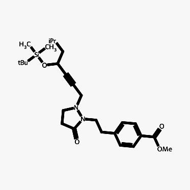 COC(=O)c1ccc(CCN2C(=O)CCN2CC#CC(CC(C)C)O[Si](C)(C)C(C)(C)C)cc1